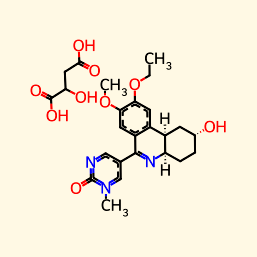 CCOc1cc2c(cc1OC)C(c1cnc(=O)n(C)c1)=N[C@@H]1CC[C@@H](O)C[C@H]21.O=C(O)CC(O)C(=O)O